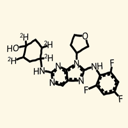 [2H]C1CC([2H])(Nc2ncc3nc(Nc4c(F)cc(F)cc4F)n(C4CCOC4)c3n2)C([2H])CC1([2H])O